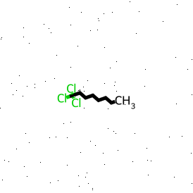 CCCCCC[CH]C(Cl)(Cl)Cl